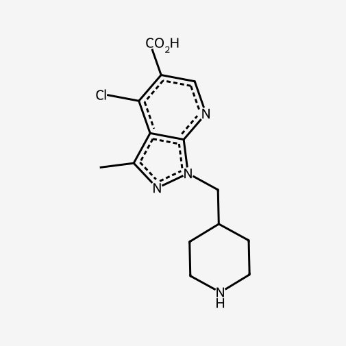 Cc1nn(CC2CCNCC2)c2ncc(C(=O)O)c(Cl)c12